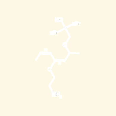 C/C=C\C(=C/C(C)OCC(O)(CCC)CCC)OCCN